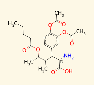 CCCCC(=O)OC(C)C(C)C(c1ccc(OC(C)=O)c(OC(C)=O)c1)[C@H](N)C(=O)O